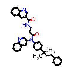 CC(C)(CCc1ccccc1)c1ccc(N(C(=O)CCNC(=O)c2cnc3ccccc3c2)c2cnc3ccccc3c2)cc1